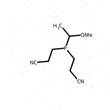 COC(C)P(CCC#N)CCC#N